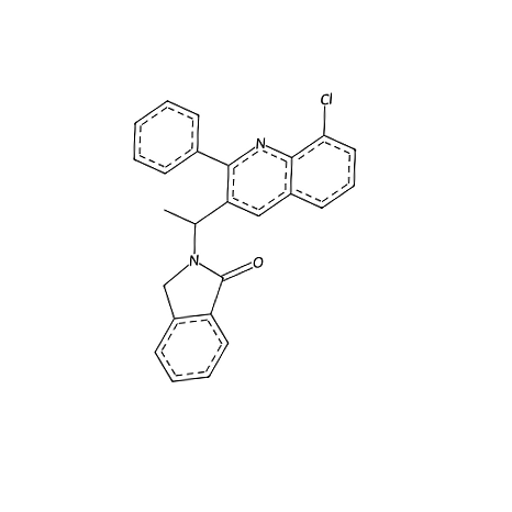 CC(c1cc2cccc(Cl)c2nc1-c1ccccc1)N1Cc2ccccc2C1=O